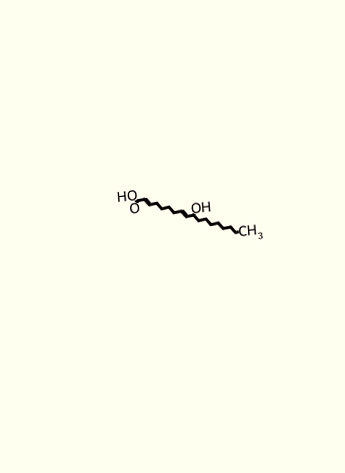 CCCCCCCCC(O)/C=C/CCCCC=CC(=O)O